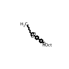 C=CCCCCCC1COC(c2ccc(-c3ccc(OCCCCCCCC)cc3)cc2)OC1